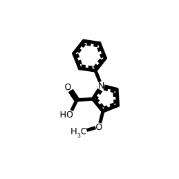 COc1ccn(-c2ccccc2)c1C(=O)O